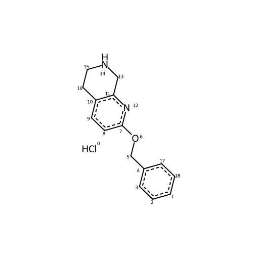 Cl.c1ccc(COc2ccc3c(n2)CNCC3)cc1